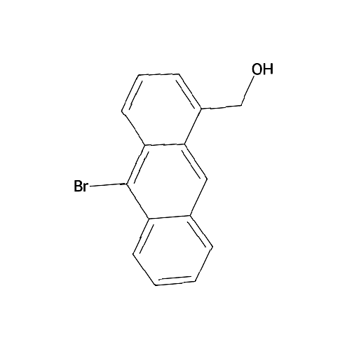 OCc1cccc2c(Br)c3ccccc3cc12